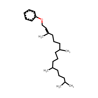 C/C(=C\COc1ccccc1)CCCC(C)CCCC(C)CCCC(C)C